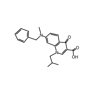 CC(C)Cn1cc(C(=O)O)c(=O)c2ccc(N(C)Cc3ccccc3)cc21